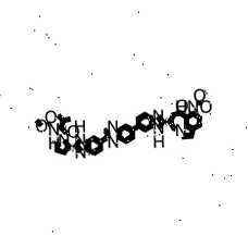 COC(=O)N[C@H]1CCc2ccn3c2C1C(=O)C[C@H](c1nc2ccc(-c4ccc5nc(-c6ccc7nc([C@@H]8CCCN8C(=O)[C@@H](NC(=O)OC)C(C)C)[nH]c7c6)cnc5c4)cc2[nH]1)C3